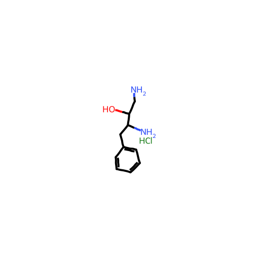 Cl.NCC(O)C(N)Cc1ccccc1